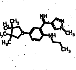 CCCNc1ccc(B2CC(C)(C)C(C)(C)C2)cc1C(=N)c1cnn(C)c1